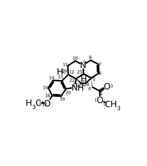 COC(=O)C[C@]12C=CCN3CC[C@@H]4c5ccc(OC)cc5N[C@@]4(CC1)[C@@H]32